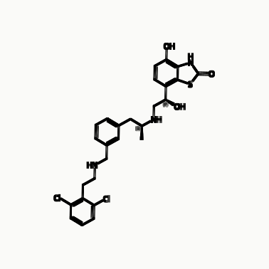 C[C@@H](Cc1cccc(CNCCc2c(Cl)cccc2Cl)c1)NC[C@H](O)c1ccc(O)c2[nH]c(=O)sc12